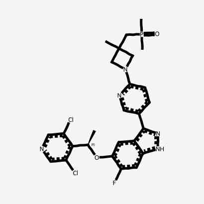 C[C@@H](Oc1cc2c(-c3ccc(N4CC(C)(CP(C)(C)=O)C4)nc3)n[nH]c2cc1F)c1c(Cl)cncc1Cl